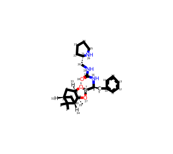 CC1(C)[C@@H]2C[C@H]3OB([C@H](Cc4ccccc4)NC(=O)NC[C@@H]4CCCCN4)O[C@@]3(C)[C@H]1C2